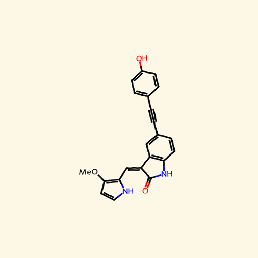 COc1cc[nH]c1/C=C1\C(=O)Nc2ccc(C#Cc3ccc(O)cc3)cc21